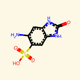 Nc1cc2[nH]c(=O)[nH]c2cc1S(=O)(=O)O